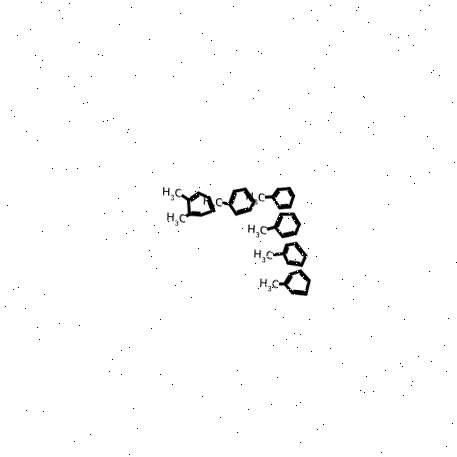 Cc1ccccc1.Cc1ccccc1.Cc1ccccc1.Cc1ccccc1.Cc1ccccc1.Cc1ccccc1C